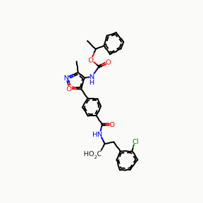 Cc1noc(-c2ccc(C(=O)NC(Cc3ccccc3Cl)C(=O)O)cc2)c1NC(=O)OC(C)c1ccccc1